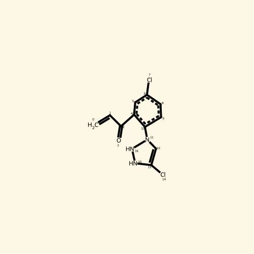 C=CC(=O)c1cc(Cl)ccc1N1C=C(Cl)NN1